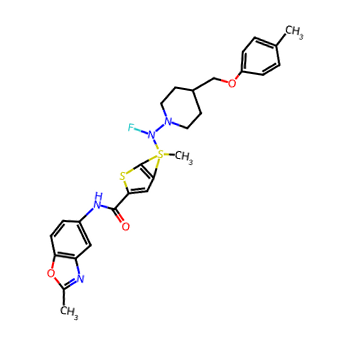 Cc1ccc(OCC2CCN(N(F)S3(C)c4cc(C(=O)Nc5ccc6oc(C)nc6c5)sc43)CC2)cc1